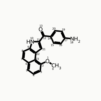 COc1cccc2ccc3[nH]c(C(=O)c4ccc(N)cc4)cc3c12